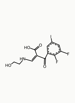 O=C(O)/C(=C\NCCO)C(=O)c1cc(I)cc(F)c1F